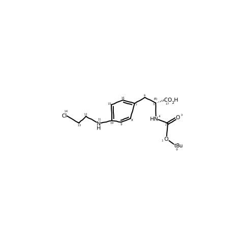 CC(C)(C)OC(=O)N[C@H](Cc1ccc(NCCCl)cc1)C(=O)O